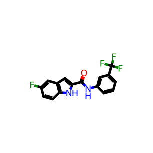 O=C(Nc1cccc(C(F)(F)F)c1)c1cc2cc(F)ccc2[nH]1